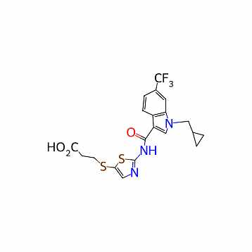 O=C(O)CCSc1cnc(NC(=O)c2cn(CC3CC3)c3cc(C(F)(F)F)ccc23)s1